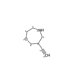 C#CC1CNCCOC1